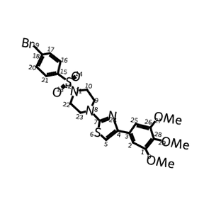 COc1cc(-c2csc(N3CCN(S(=O)(=O)c4ccc(Br)cc4)CC3)n2)cc(OC)c1OC